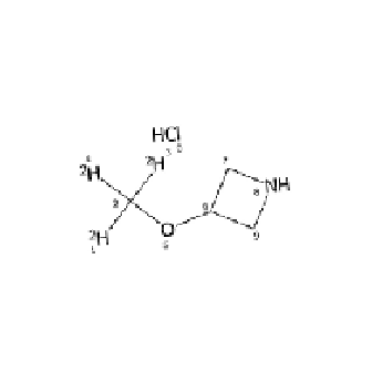 Cl.[2H]C([2H])([2H])OC1CNC1